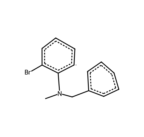 CN(Cc1ccccc1)c1[c]cccc1Br